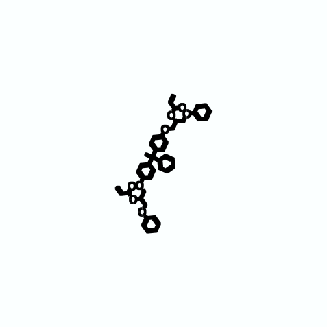 C=CC(=O)OC(COc1ccccc1)COc1ccc(C(C)(c2ccccc2)c2ccc(OCC(COc3ccccc3)OC(=O)C=C)cc2)cc1